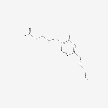 CCOCCc1ccc(OCCNC(C)=O)c(C)c1